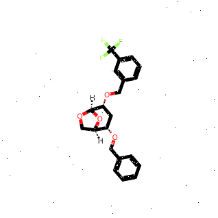 FC(F)(F)c1cccc(CO[C@@H]2C[C@H](OCc3ccccc3)[C@H]3CO[C@@H]2O3)c1